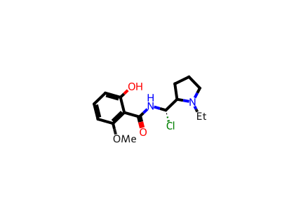 CCN1CCCC1[C@H](Cl)NC(=O)c1c(O)cccc1OC